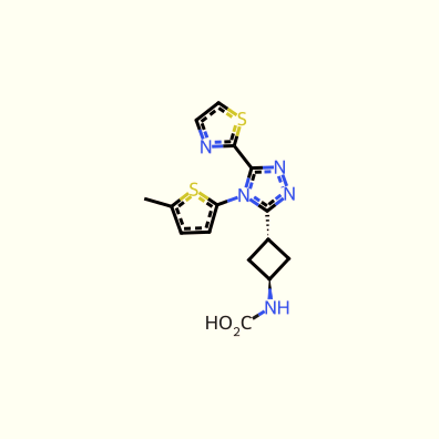 Cc1ccc(-n2c(-c3nccs3)nnc2[C@H]2C[C@H](NC(=O)O)C2)s1